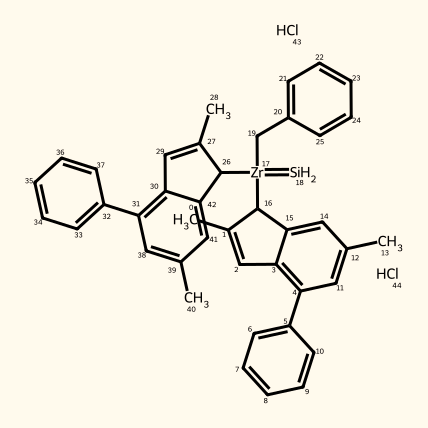 CC1=Cc2c(-c3ccccc3)cc(C)cc2[CH]1[Zr](=[SiH2])([CH2]c1ccccc1)[CH]1C(C)=Cc2c(-c3ccccc3)cc(C)cc21.Cl.Cl